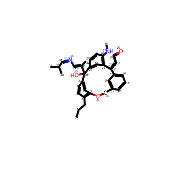 CCCc1ccc2cc1OCc1cccc(c1)/C(=C/C=O)c1cc(ccc1NC)C2(O)/C(C)=C/N=C\C(C)C